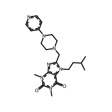 CC(C)CCn1c(CN2CCN(c3ccncc3)CC2)nc2c1c(=O)n(C)c(=O)n2C